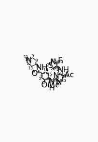 COc1cc(C(=O)NC2CCN(C)CC2)ccc1Nc1ncc(C(C)=O)c(Nc2csnc2F)n1